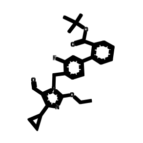 CCOc1nc(C2CC2)c(C=O)n1Cc1ccc(-c2ccccc2C(=O)OC(C)(C)C)cc1F